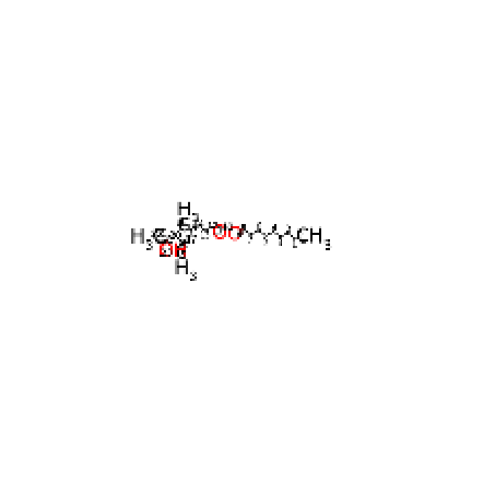 CCCCCCCCCOCOCCCC(C)CC(C)CC(C)O